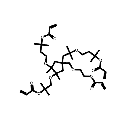 C=CC(=O)OCCOCC1(CC(C)(C)OCCC(C)(C)OC(=O)C=C)CC(C)(OCCC(C)(C)OC(=O)C=C)C(C)(OCC(C)(C)OC(=O)C=C)C1